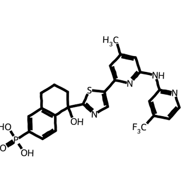 Cc1cc(Nc2cc(C(F)(F)F)ccn2)nc(-c2cnc(C3(O)CCCc4cc(P(=O)(O)O)ccc43)s2)c1